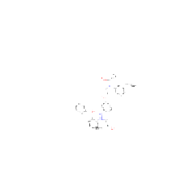 COC(=O)C(Cc1ccc(OCCN(C(=O)C2CC2)c2cccc(OC)c2)cc1)Nc1ccccc1C(=O)c1ccccc1